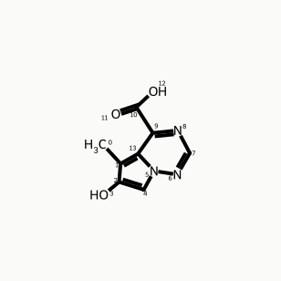 Cc1c(O)cn2ncnc(C(=O)O)c12